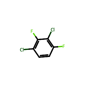 Fc1ccc(Cl)c(F)c1Cl